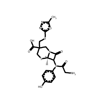 Cc1nnc(SCC2(C(=O)O)CS[C@@H]3C(N(C(=O)CN)c4ccc(O)cc4)C(=O)N3C2)o1